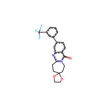 O=c1c2ccc(-c3cccc(C(F)(F)F)c3)cc2nc2n1CCC1(CC2)OCCO1